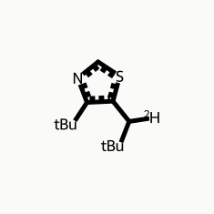 [2H]C(c1scnc1C(C)(C)C)C(C)(C)C